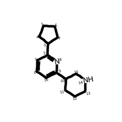 c1cc(C2CCCC2)nc(C2CCCNC2)c1